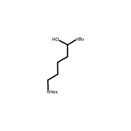 CCCCCCCCCCC(O)CCCC